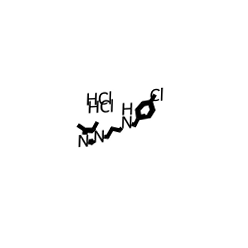 Cc1ncn(CCCNCc2ccc(Cl)cc2)c1C.Cl.Cl